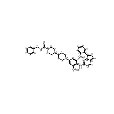 COc1cc(N2CCC(N3CCN(C(=O)OCc4ccccc4)CC3)CC2)ccc1Nc1ncc2ccc(-c3ccccc3OC)n2n1